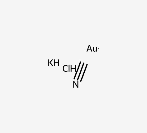 C#N.Cl.[Au].[KH]